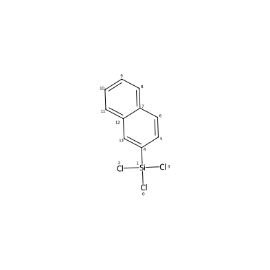 Cl[Si](Cl)(Cl)c1ccc2ccccc2c1